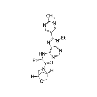 CC[C@@H](Nc1ncnc2c1nc(-c1cnc(C)nc1)n2CC)C(=O)N1C[C@@H]2C[C@H]1CO2